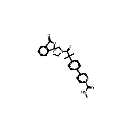 CNC(=O)c1ccc(-c2ccc(C(C)(C)C(=O)N3CC[C@@]4(C3)OC(=O)c3ccccc34)cc2)cn1